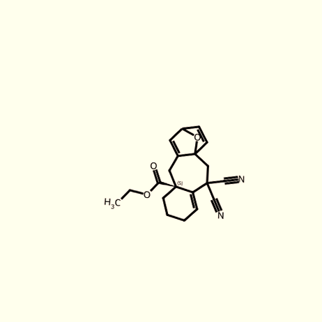 CCOC(=O)[C@]12CCCC=C1C(C#N)(C#N)CC13C=CC(C=C1C2)O3